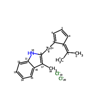 CC(C)=C1C=CC=[C]1[Zr+2][c]1[nH]c2ccccc2c1C.[Cl-].[Cl-]